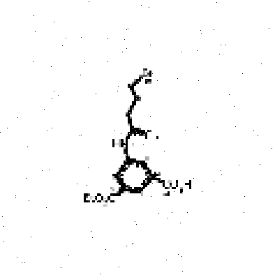 CCOC(=O)c1cc(NC(=O)CCCBr)cc(C(=O)O)c1